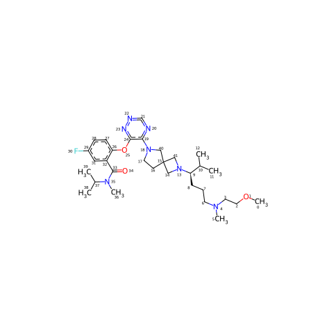 COCCN(C)CCC[C@H](C(C)C)N1CC2(CCN(c3ncnnc3Oc3ccc(F)cc3C(=O)N(C)C(C)C)C2)C1